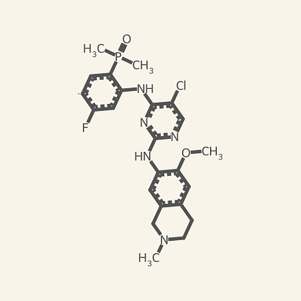 COc1cc2c(cc1Nc1ncc(Cl)c(Nc3cc(F)[c]cc3P(C)(C)=O)n1)CN(C)CC2